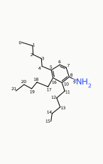 CCCCCc1ccc(N)c(CCCCC)c1CCCCC